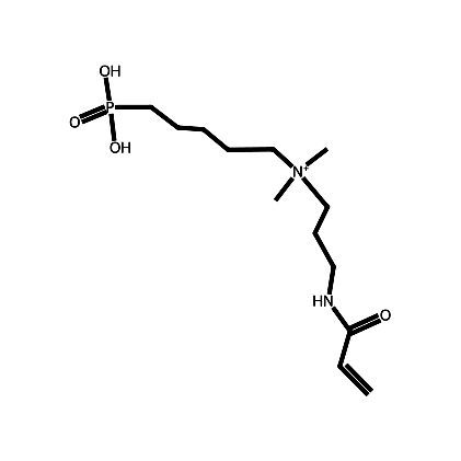 C=CC(=O)NCCC[N+](C)(C)CCCCCP(=O)(O)O